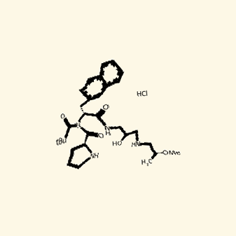 CO[C@H](C)CNCC(O)CNC(=O)[C@@H](Cc1ccc2ccccc2c1)N(C(=O)[C@@H]1CCCN1)C(=O)C(C)(C)C.Cl